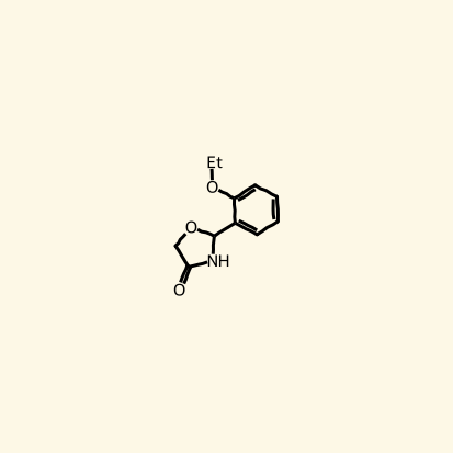 CCOc1ccccc1C1NC(=O)CO1